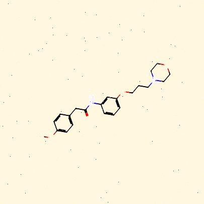 O=C(Cc1ccc(OC(F)(F)F)cc1)Nc1cccc(OCCCN2CCOCC2)c1